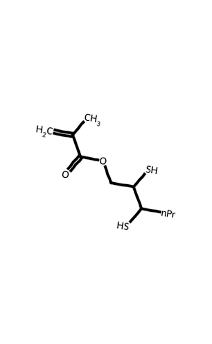 C=C(C)C(=O)OCC(S)C(S)CCC